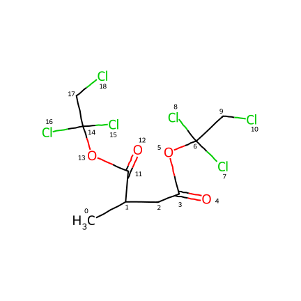 CC(CC(=O)OC(Cl)(Cl)CCl)C(=O)OC(Cl)(Cl)CCl